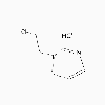 Cl.ClCCN1C=NC=CC1